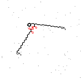 CCCCCCCCCCCCCCCCC(=O)C(=O)OOC(=O)C(CCCCCCCCCCCCCCCC)Cc1ccccc1